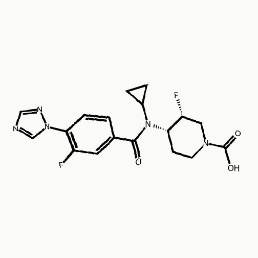 O=C(O)N1CC[C@H](N(C(=O)c2ccc(-n3cncn3)c(F)c2)C2CC2)[C@H](F)C1